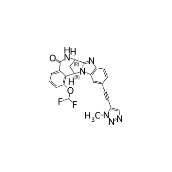 Cn1nncc1C#Cc1ccc2nc3n(c2c1)[C@@H]1C[C@H]3NC(=O)c2cccc(OC(F)F)c21